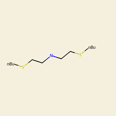 CCCCSCC[N]CCSCCCC